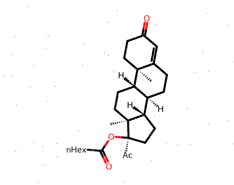 CCCCCCC(=O)O[C@]1(C(C)=O)CC[C@H]2[C@@H]3CCC4=CC(=O)CC[C@]4(C)[C@H]3CC[C@@]21C